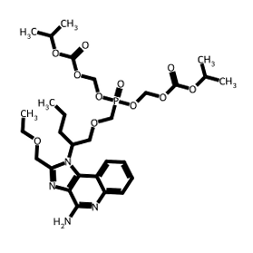 CCCC(COCP(=O)(OCOC(=O)OC(C)C)OCOC(=O)OC(C)C)n1c(COCC)nc2c(N)nc3ccccc3c21